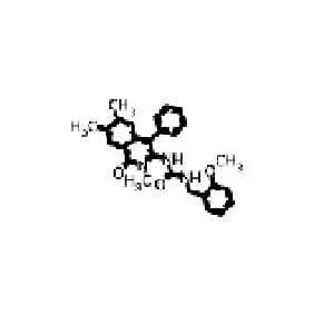 COc1ccccc1CNC(=O)Nc1c(-c2ccccc2)c2cc(C)c(C)cc2c(=O)n1C